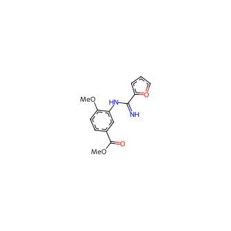 COC(=O)c1ccc(OC)c(NC(=N)c2ccco2)c1